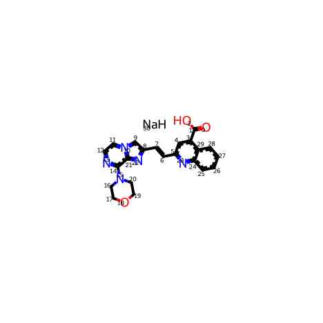 O=C(O)c1cc(C=Cc2cn3ccnc(N4CCOCC4)c3n2)nc2ccccc12.[NaH]